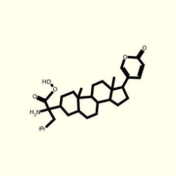 CC(C)CC(N)(C(=O)OO)C1CCC2(C)C(CCC3C2CCC2(C)C(c4ccc(=O)oc4)CCC32)C1